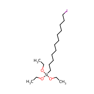 CCO[Si](CCCCCCCCCCCCI)(OCC)OCC